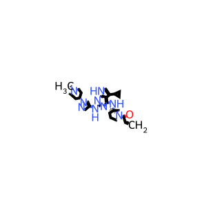 C=CC(=O)N1CCC[C@@H](Nc2nc(Nc3cnn(C4CCN(C)CC4)c3)nc3[nH]cc(C4CC4)c23)C1